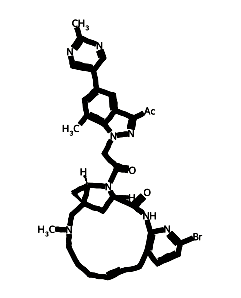 CC(=O)c1nn(CC(=O)N2[C@H]3C[C@]4(C[C@@H]24)CN(C)CCC/C=C/Cc2ccc(Br)nc2NC3=O)c2c(C)cc(-c3cnc(C)nc3)cc12